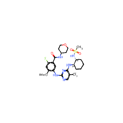 COc1cc(F)c(C(=O)NC2CCOCC2)cc1Nc1ncc(C(F)(F)F)c(N[C@@H]2CCCC[C@H]2NS(C)(=O)=O)n1